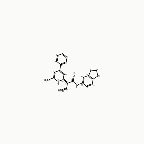 CC1=CC(c2ccccc2)=N/C(=C(/C=N)C(=O)Nc2ccc3c(c2)CCC3)N1